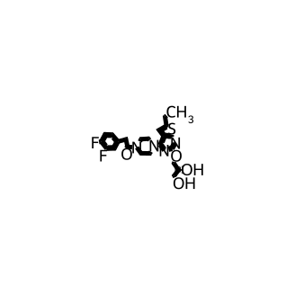 CCc1cc2c(N3CCN(C(=O)Cc4ccc(F)c(F)c4)CC3)nc(OC[C@H](O)CO)nc2s1